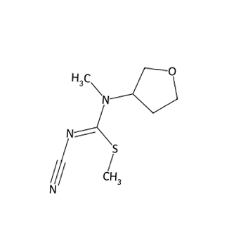 CSC(=NC#N)N(C)C1CCOC1